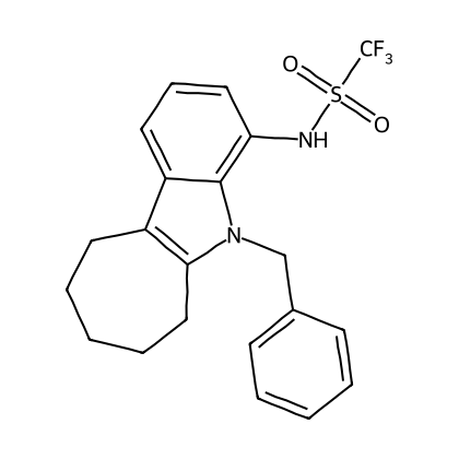 O=S(=O)(Nc1cccc2c3c(n(Cc4ccccc4)c12)CCCCC3)C(F)(F)F